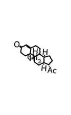 CC(=O)[C@H]1CC[C@@H]2[C@@H]1CC[C@H]1[C@H]2CCC2=CC(=O)CC[C@@]21C